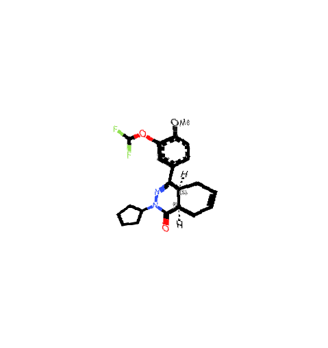 COc1ccc(C2=NN(C3CCCC3)C(=O)[C@@H]3CC=CC[C@H]23)cc1OC(F)F